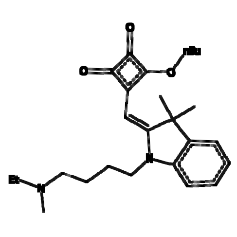 CCCCOc1c(/C=C2/N(CCCCN(C)CC)c3ccccc3C2(C)C)c(=O)c1=O